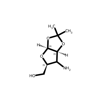 CC1(C)O[C@@H]2O[C@H](CO)C(N)[C@@H]2O1